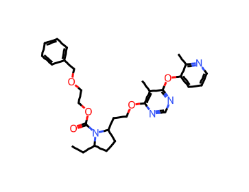 CCC1CCC(CCOc2ncnc(Oc3cccnc3C)c2C)N1C(=O)OCCOCc1ccccc1